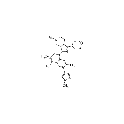 CC(=O)N1CCc2c(c(N3C[C@H](C)N(C)c4cc(-c5cnn(C)c5)c(C(F)(F)F)cc43)nn2C2CCOCC2)C1